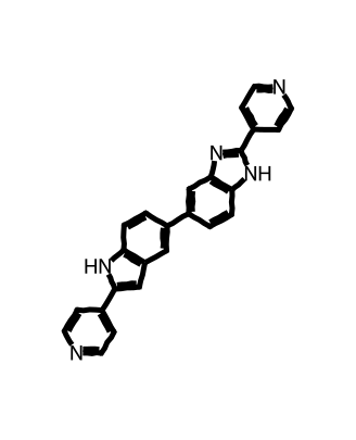 c1cc(-c2cc3cc(-c4ccc5[nH]c(-c6ccncc6)nc5c4)ccc3[nH]2)ccn1